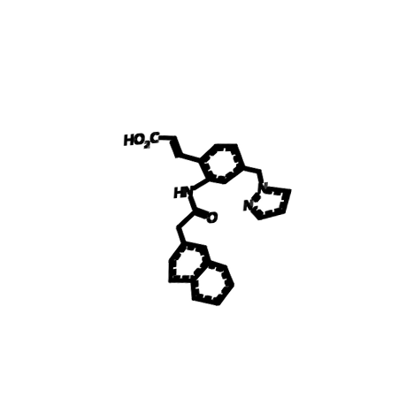 O=C(O)C=Cc1ccc(Cn2cccn2)cc1NC(=O)Cc1ccc2ccccc2c1